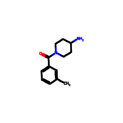 Cc1cccc(C(=O)N2CCC(N)CC2)c1